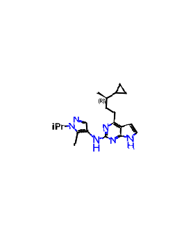 Cc1c(Nc2nc(CC[C@@H](C)C3CC3)c3cc[nH]c3n2)cnn1C(C)C